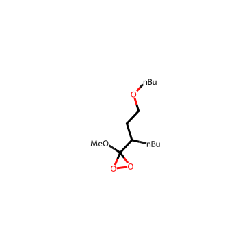 CCCCOCCC(CCCC)C1(OC)OO1